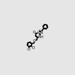 O=C1C=C(COCc2cccc(Cl)c2Cl)NC2N1[N@]1C(c3ccccc3)N21